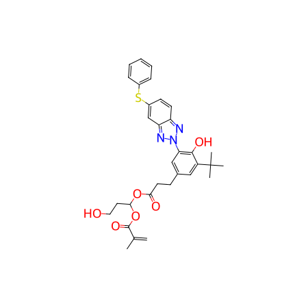 C=C(C)C(=O)OC(CCO)OC(=O)CCc1cc(-n2nc3ccc(Sc4ccccc4)cc3n2)c(O)c(C(C)(C)C)c1